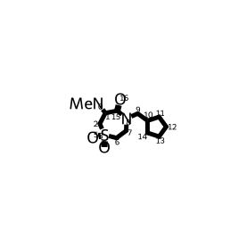 CNC1CS(=O)(=O)CCN(CC2CCCC2)C1=O